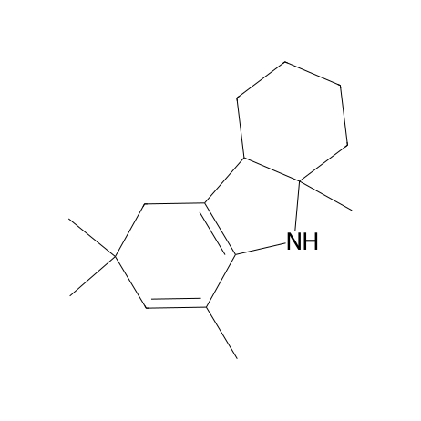 CC1=CC(C)(C)CC2=C1NC1(C)CCCCC21